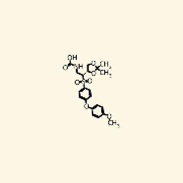 COc1ccc(Oc2ccc(S(=O)(=O)C(CNC(=O)O)[C@@H]3COC(C)(C)O3)cc2)cc1